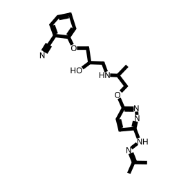 CC(C)=NNc1ccc(OCC(C)NCC(O)COc2ccccc2C#N)nn1